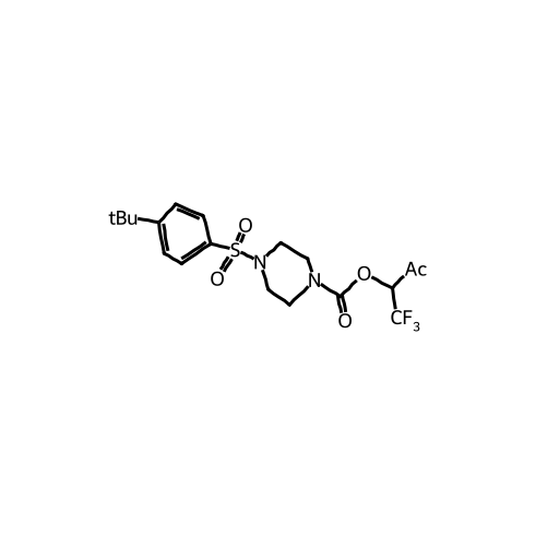 CC(=O)C(OC(=O)N1CCN(S(=O)(=O)c2ccc(C(C)(C)C)cc2)CC1)C(F)(F)F